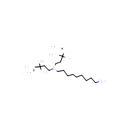 CO[SiH2]C(C)(C)CCN(CCCCCCCCCN)CCC(C)(C)[SiH2]OC